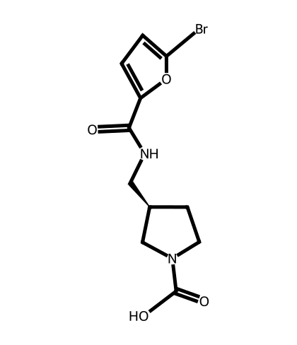 O=C(NC[C@H]1CCN(C(=O)O)C1)c1ccc(Br)o1